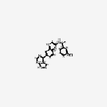 C[C@H](Nc1cnc2cc(-c3ncnc4[nH]ncc34)ccc2n1)c1cccc(Cl)c1